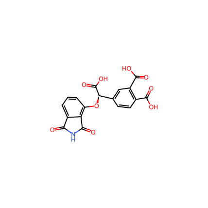 O=C(O)c1ccc([C@@H](Oc2cccc3c2C(=O)NC3=O)C(=O)O)cc1C(=O)O